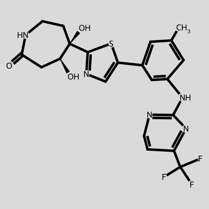 Cc1cc(Nc2nccc(C(F)(F)F)n2)cc(-c2cnc([C@@]3(O)CCNC(=O)C[C@@H]3O)s2)c1